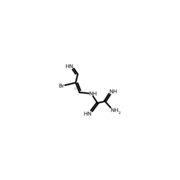 N=C/C(Br)=C\NC(=N)C(=N)N